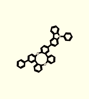 c1ccc(-c2ccc3c(c2)-c2ccccc2Oc2ccccc2-c2cc(-c4ccc5c(c4)c4ccccc4n5-c4ccccc4)ccc2O3)cc1